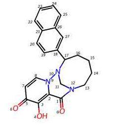 O=C1c2c(O)c(=O)ccn2N2CN1CCCCC2c1ccc2ccccc2c1